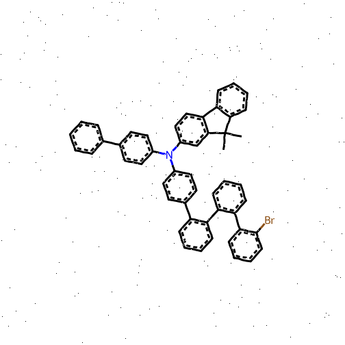 CC1(C)c2ccccc2-c2ccc(N(c3ccc(-c4ccccc4)cc3)c3ccc(-c4ccccc4-c4ccccc4-c4ccccc4Br)cc3)cc21